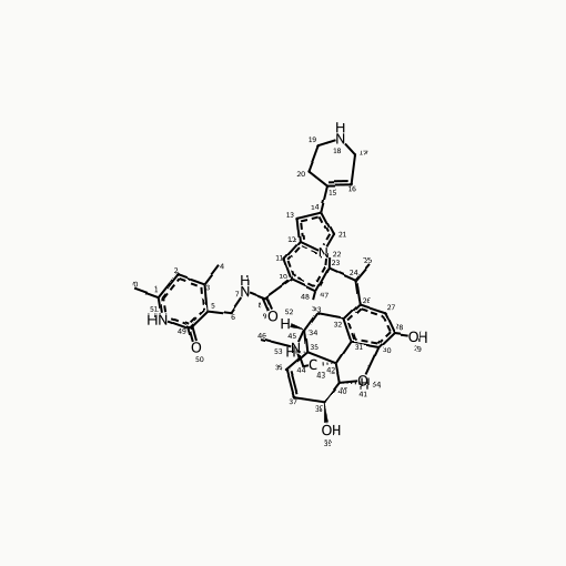 Cc1cc(C)c(CNC(=O)c2cc3cc(C4=CCNCC4)cn3c(C(C)c3cc(O)c4c5c3C[C@@H]3[C@@H]6C=C[C@H](O)[C@H](O4)[C@]56CCN3C)c2C)c(=O)[nH]1